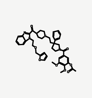 COc1cc(C(=O)N2CCC(CCN3CCC(C(=O)c4nc5ccccc5n4CCOCc4ccco4)CC3)(c3ccccc3)C2)cc(OC(C)=O)c1OC